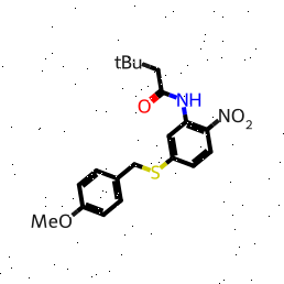 COc1ccc(CSc2ccc([N+](=O)[O-])c(NC(=O)CC(C)(C)C)c2)cc1